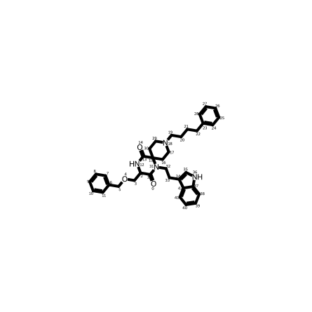 O=C1C(COCc2ccccc2)NC(=O)C2(CCN(CCCCc3ccccc3)CC2)N1CCc1c[nH]c2ccccc12